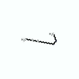 CCCCC/C=C\C/C=C\CCCCCCCCCCOCCCOCCCCC